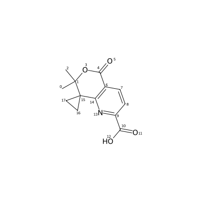 CC1(C)OC(=O)c2ccc(C(=O)O)nc2C12CC2